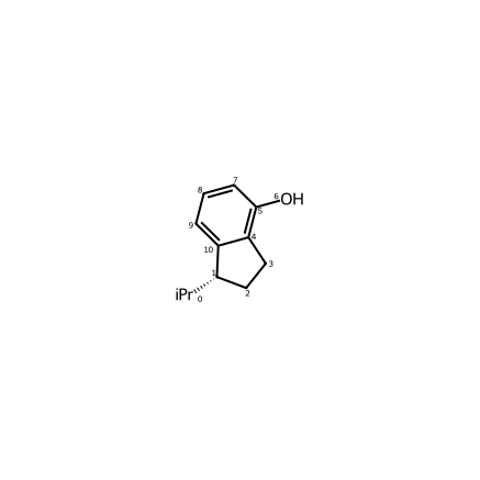 CC(C)[C@H]1CCc2c(O)cccc21